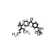 C=C/C=C(\C=C)C1(N2CCN(C(=O)c3ccc(N[SH](=O)=O)cc3)CC2)CC1